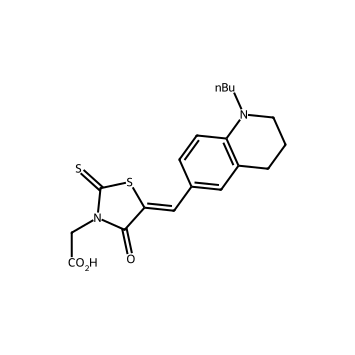 CCCCN1CCCc2cc(/C=C3\SC(=S)N(CC(=O)O)C3=O)ccc21